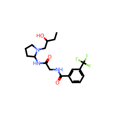 CCC(O)CN1CCCC1NC(=O)CNC(=O)c1cccc(C(F)(F)F)c1